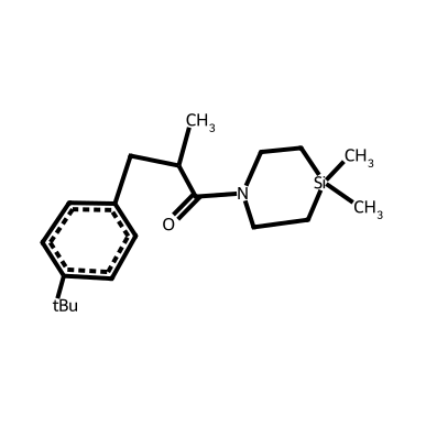 CC(Cc1ccc(C(C)(C)C)cc1)C(=O)N1CC[Si](C)(C)CC1